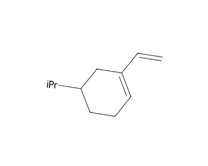 C=CC1=CCCC(C(C)C)C1